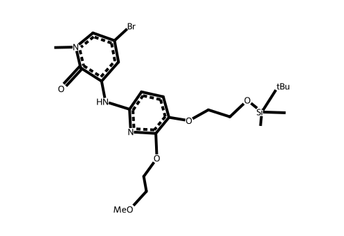 COCCOc1nc(Nc2cc(Br)cn(C)c2=O)ccc1OCCO[Si](C)(C)C(C)(C)C